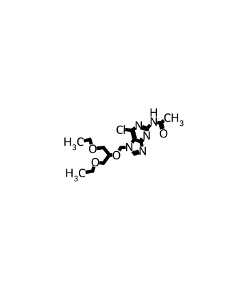 CCOCC(COCC)OCn1cnc2nc(NC(C)=O)nc(Cl)c21